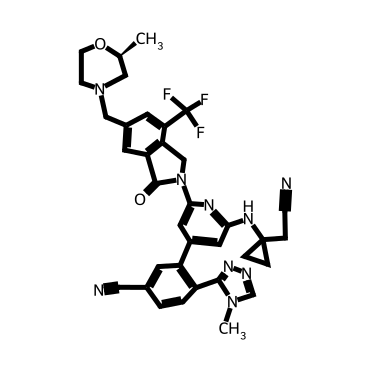 C[C@H]1CN(Cc2cc3c(c(C(F)(F)F)c2)CN(c2cc(-c4cc(C#N)ccc4-c4nncn4C)cc(NC4(CC#N)CC4)n2)C3=O)CCO1